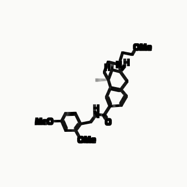 COCCN1CC[C@]2(C)c3cc(C(=O)NCc4ccc(OC)cc4OC)ccc3C[C@@H]1[C@@H]2C